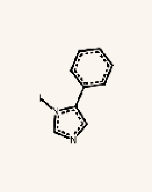 In1cncc1-c1ccccc1